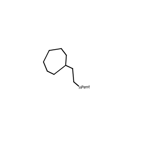 CCCCCCCC1CCCCCC1